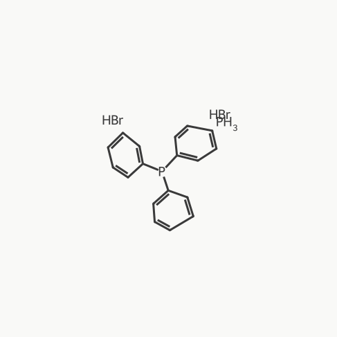 Br.Br.P.c1ccc(P(c2ccccc2)c2ccccc2)cc1